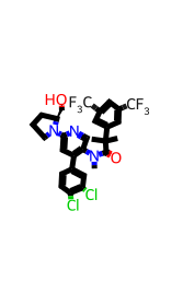 CN(C(=O)C(C)(C)c1cc(C(F)(F)F)cc(C(F)(F)F)c1)c1cnc(N2CCC[C@H]2CO)cc1-c1ccc(Cl)c(Cl)c1